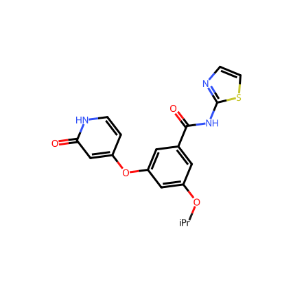 CC(C)Oc1cc(Oc2cc[nH]c(=O)c2)cc(C(=O)Nc2nccs2)c1